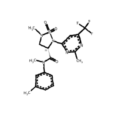 Cc1cccc(N(C)C(=O)[C@@H]2CN(C)S(=O)(=O)N2c2cc(C(F)(F)F)nc(C)n2)c1